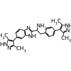 Cc1n[nH]c(C)c1-c1ccc(CC(N)c2nc3ccc(-c4c(C)n[nH]c4C)cc3[nH]2)cc1